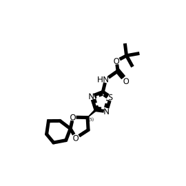 CC(C)(C)OC(=O)Nc1nc([C@H]2COC3(CCCCC3)O2)ns1